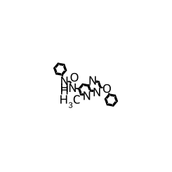 Cc1nc2nc(Oc3ccccc3)cnc2cc1NC(=O)Nc1ccccc1